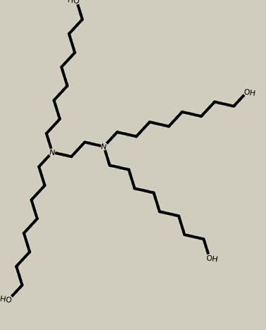 OCCCCCCCCN(CCCCCCCCO)CCN(CCCCCCCCO)CCCCCCCCO